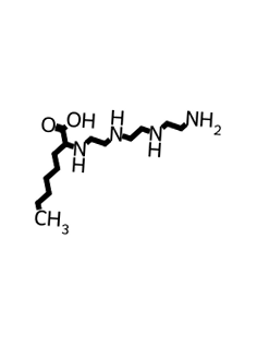 CCCCCCC(NCCNCCNCCN)C(=O)O